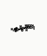 CC(C)(C)OC(=O)NCCOC(=O)NCCOS(C)(=O)=O